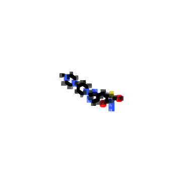 CN1CCN(C2CCN(c3nccc(/C=C4/SC(=O)NC4=O)n3)CC2)CC1